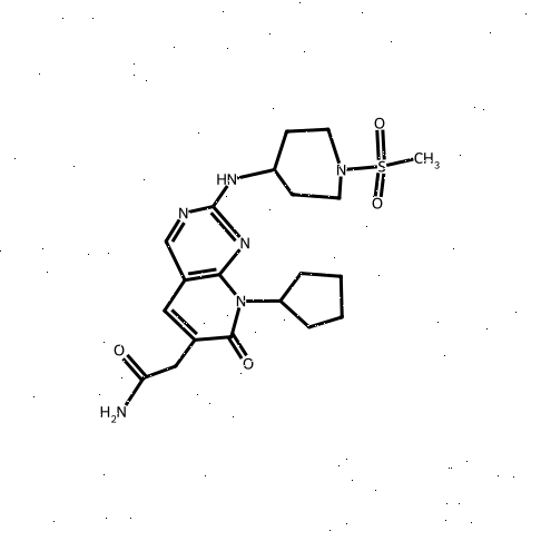 CS(=O)(=O)N1CCC(Nc2ncc3cc(CC(N)=O)c(=O)n(C4CCCC4)c3n2)CC1